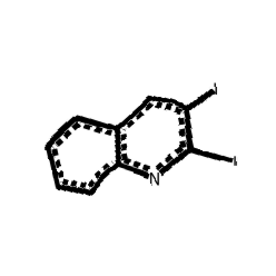 Ic1cc2ccccc2nc1I